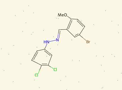 COc1ccc(Br)cc1/C=N/Nc1ccc(Cl)c(Cl)c1